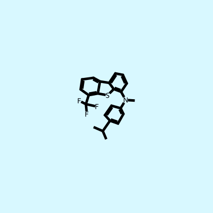 CC(C)c1ccc(N(C)c2cccc3c2sc2c(C(F)(F)F)cccc23)cc1